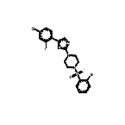 O=S(=O)(c1ccccc1Br)N1CCN(c2nc(-c3ccc(Cl)cc3Cl)cs2)CC1